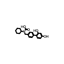 O=C(O)N(Cc1ccc(-c2ccc(O)cc2O)cc1)C1CCCCC1